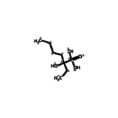 CCCCC(O)(CC)P(=O)(O)O